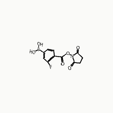 O=C(ON1C(=O)CCC1=O)c1ccc(B(O)O)cc1F